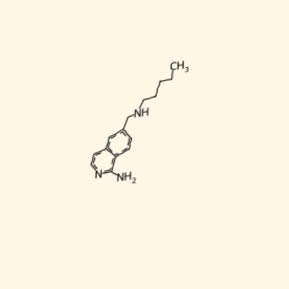 CCCCCNCc1ccc2c(N)nccc2c1